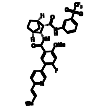 COc1cc(F)c(-c2ccc(/C=C/C(C)(C)C)nc2)cc1C(=O)N[C@@H]1[C@H]2CC[C@H](C2)[C@@H]1C(=O)Nc1cccc(S(=O)(=O)C(F)(F)F)c1